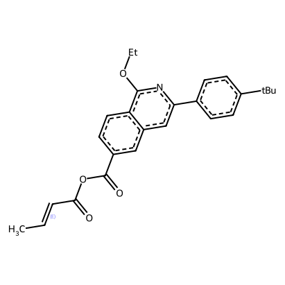 C/C=C/C(=O)OC(=O)c1ccc2c(OCC)nc(-c3ccc(C(C)(C)C)cc3)cc2c1